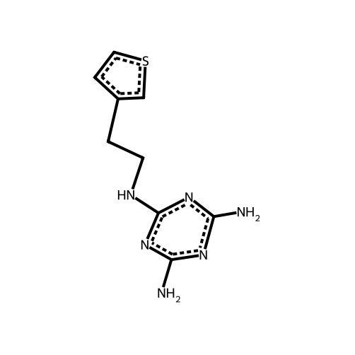 Nc1nc(N)nc(NCCc2ccsc2)n1